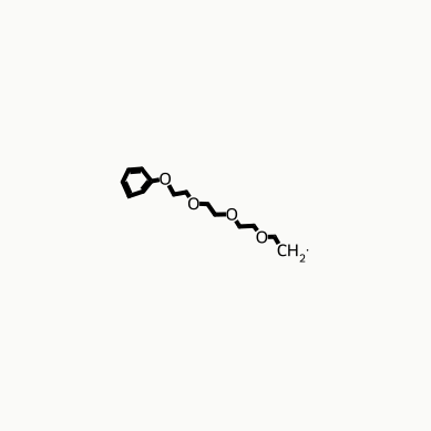 [CH2]COCCOCCOCCOc1ccccc1